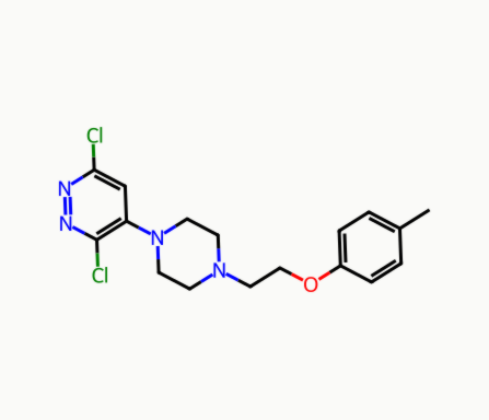 Cc1ccc(OCCN2CCN(c3cc(Cl)nnc3Cl)CC2)cc1